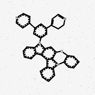 C1=NCCC(c2cc(-c3ccncc3)cc(-n3c4ccccc4c4c5c6ccccc6n6c5c(cc43)Oc3ccccc3-6)c2)=C1